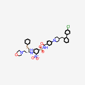 O=C(NS(=O)(=O)c1ccc(N[C@H](CCN2CCOCC2)CSc2ccccc2)c([N+](=O)[O-])c1)c1ccc(N2CCC(Cc3ccccc3-c3ccc(Cl)cc3)CC2)cc1